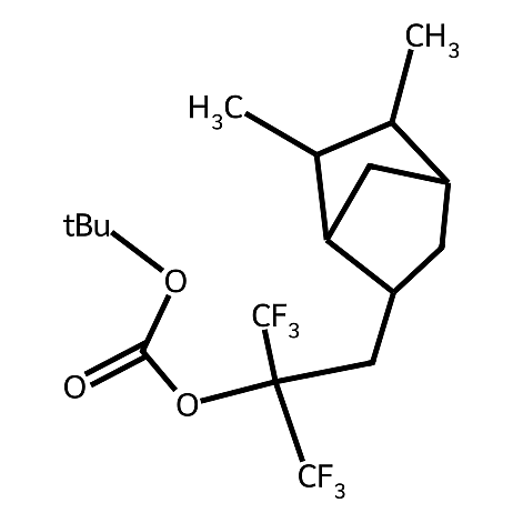 CC1C2CC(CC(OC(=O)OC(C)(C)C)(C(F)(F)F)C(F)(F)F)C(C2)C1C